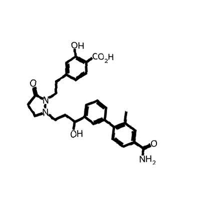 Cc1cc(C(N)=O)ccc1-c1cccc(C(O)CCN2CCC(=O)N2CCc2ccc(C(=O)O)c(O)c2)c1